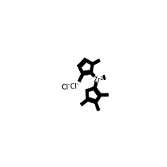 [CH2]=[Zr+2]([C]1=C(C)C(C)=C(C)C1)[C]1=C(C)C=CC1C.[Cl-].[Cl-]